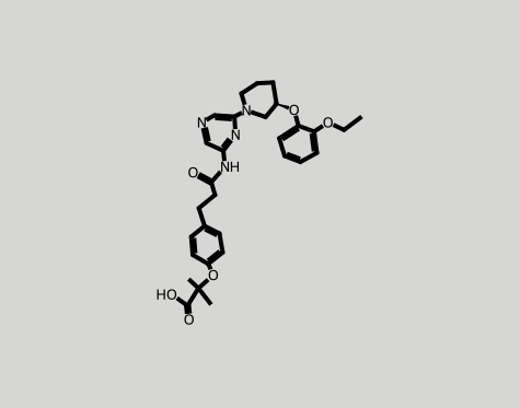 CCOc1ccccc1O[C@@H]1CCCN(c2cncc(NC(=O)CCc3ccc(OC(C)(C)C(=O)O)cc3)n2)C1